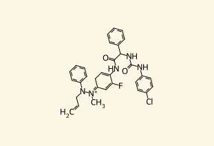 C=CCN(c1ccccc1)[N+](C)=C1C=C(F)C(NC(=O)C(NC(=O)Nc2ccc(Cl)cc2)c2ccccc2)=CC1